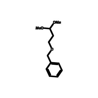 COC(CCOCc1ccccc1)OC